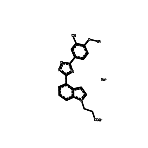 CC(C)Oc1ccc(-c2nc(-c3cccc4c3ccn4CCC(=O)[O-])no2)cc1C#N.[Na+]